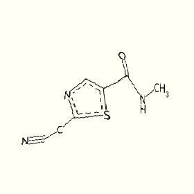 CNC(=O)c1cnc(CC#N)s1